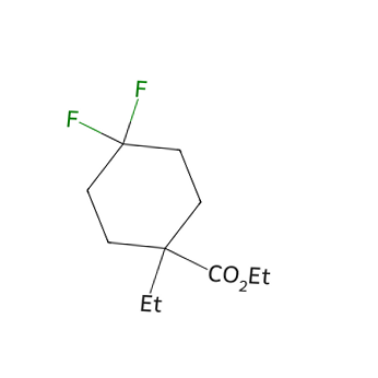 CCOC(=O)C1(CC)CCC(F)(F)CC1